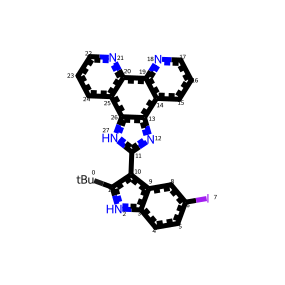 CC(C)(C)c1[nH]c2ccc(I)cc2c1-c1nc2c3cccnc3c3ncccc3c2[nH]1